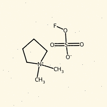 C[N+]1(C)CCCC1.O=S(=O)([O-])OF